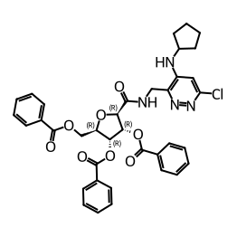 O=C(OC[C@H]1O[C@@H](C(=O)NCc2nnc(Cl)cc2NC2CCCC2)[C@H](OC(=O)c2ccccc2)[C@@H]1OC(=O)c1ccccc1)c1ccccc1